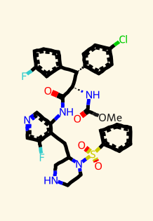 COC(=O)N[C@H](C(=O)Nc1cncc(F)c1CC1CNCCN1S(=O)(=O)c1ccccc1)[C@@H](c1ccc(Cl)cc1)c1cccc(F)c1